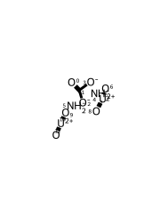 O=C([O-])[O-].[NH2-].[NH2-].[O]=[U+2]=[O].[O]=[U+2]=[O]